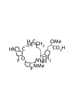 CN/C1=N\C(=N)C(C)(c2cccc(CC(OC)C(=O)O)c2)CCCC(C)(C)CSCCc2c(c(F)cc3[nH]ccc23)Oc2ccc(F)c1c2